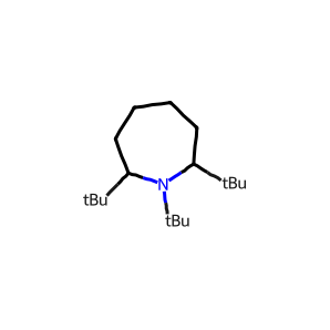 CC(C)(C)C1CCCCC(C(C)(C)C)N1C(C)(C)C